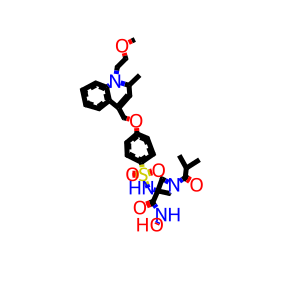 COCCN1c2ccccc2C(COc2ccc(S(=O)(=O)NC3(C(=O)NO)CN(C(=O)C(C)C)C3)cc2)=CC1C